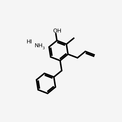 C=CCc1c(Cc2ccccc2)ccc(O)c1C.I.N